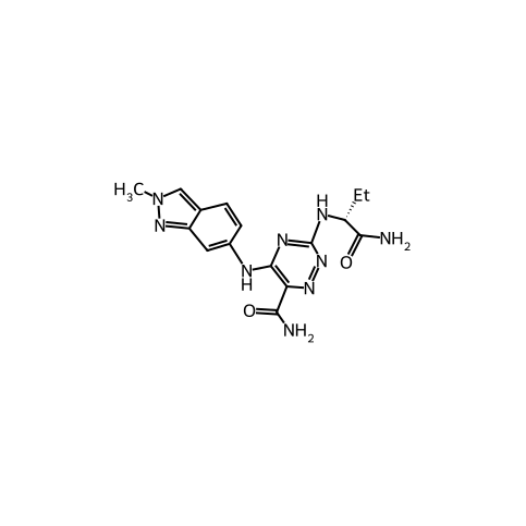 CC[C@@H](Nc1nnc(C(N)=O)c(Nc2ccc3cn(C)nc3c2)n1)C(N)=O